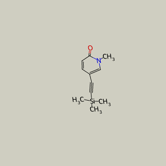 Cn1cc(C#C[Si](C)(C)C)ccc1=O